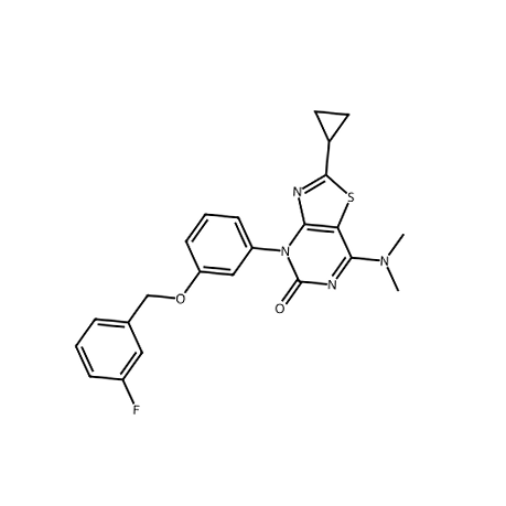 CN(C)c1nc(=O)n(-c2cccc(OCc3cccc(F)c3)c2)c2nc(C3CC3)sc12